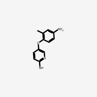 Cc1cc([N+](=O)[O-])ccc1Oc1ccc([NH])nc1